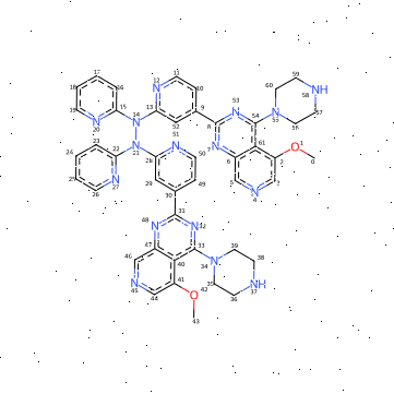 COc1cncc2nc(-c3ccnc(N(c4ccccn4)N(c4ccccn4)c4cc(-c5nc(N6CCNCC6)c6c(OC)cncc6n5)ccn4)c3)nc(N3CCNCC3)c12